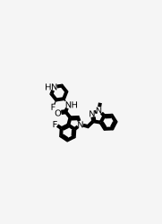 Cn1nc(Cn2cc(C(=O)N[C@H]3CCNC[C@H]3F)c3c(F)cccc32)c2ccccc21